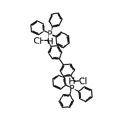 ClC(c1ccc(-c2ccc(C(Cl)[PH](c3ccccc3)(c3ccccc3)c3ccccc3)cc2)cc1)[PH](c1ccccc1)(c1ccccc1)c1ccccc1